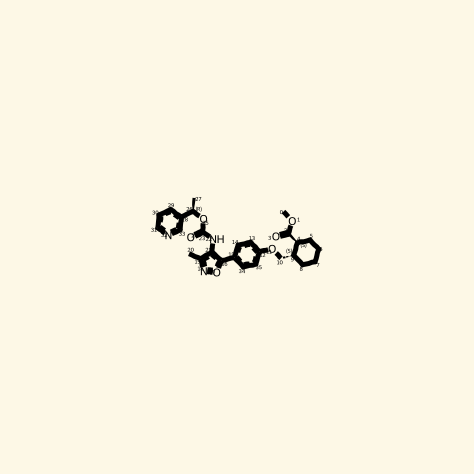 COC(=O)[C@H]1CCCC[C@@H]1COc1ccc(-c2onc(C)c2NC(=O)O[C@H](C)c2cccnc2)cc1